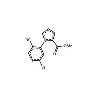 COC(=O)c1cccn1-c1cc(Cl)ncc1C#N